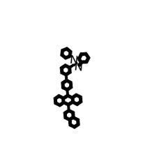 c1ccc(-n2c(-c3cccc(-c4ccc(-c5c6ccccc6c(-c6ccc7ccccc7c6)c6ccccc56)cc4)c3)nc3ccccc32)cc1